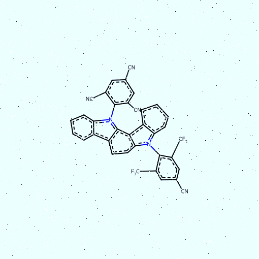 N#Cc1cc(C#N)c(-n2c3ccccc3c3ccc4c(c5ccccc5n4-c4c(C(F)(F)F)cc(C#N)cc4C(F)(F)F)c32)c(C#N)c1